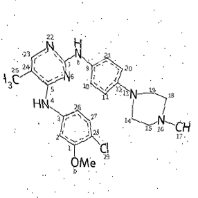 COc1cc(Nc2nc(Nc3ccc(N4CCN(C)CC4)cc3)ncc2C)ccc1Cl